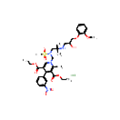 CCOC(=O)C1=CN(CN(CC(C)(C)NCC(O)COc2ccccc2OC)S(C)(=O)=O)C(C)=C(C(=O)OCC)C1c1cccc([N+](=O)[O-])c1.Cl